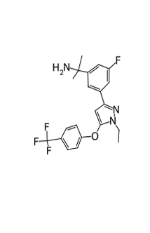 CCn1nc(-c2cc(F)cc(C(C)(C)N)c2)cc1Oc1ccc(C(F)(F)F)cc1